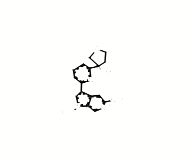 CO[C@]1(c2cccc(-c3cn(C)c4cnc(NC(C)=O)cc34)n2)CCOC1